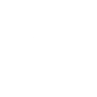 CC(CCO)CCO.O=C(O)CCC(=O)O